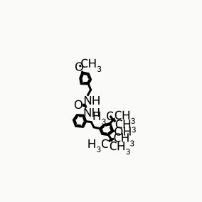 COc1ccc(CCNC(=O)Nc2ccccc2CCc2cc(C(C)(C)C)c(O)c(C(C)(C)C)c2)cc1